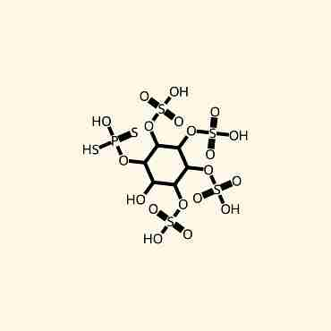 O=S(=O)(O)OC1C(O)C(OP(O)(=S)S)C(OS(=O)(=O)O)C(OS(=O)(=O)O)C1OS(=O)(=O)O